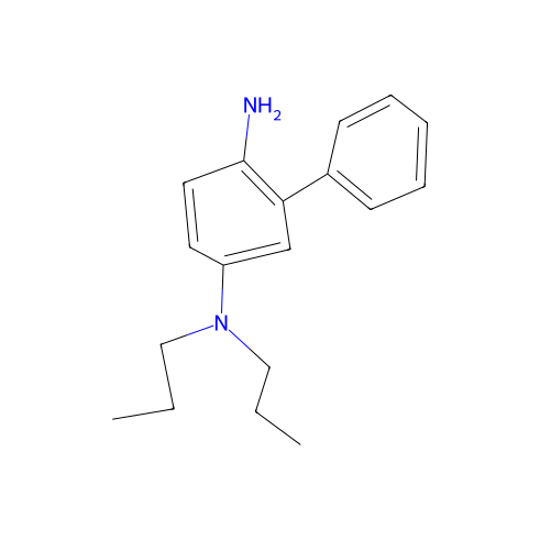 CCCN(CCC)c1ccc(N)c(-c2ccccc2)c1